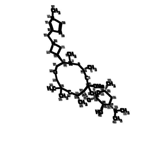 CO[C@]1(C)C[C@@H](C)CN(C)[C@H](C2CN(Cc3cn(C)cn3)C2)COCC(C)(C)C[C@@H](C)[C@H]1O[C@@H]1O[C@H](C)C[C@H](N(C)C)[C@H]1O